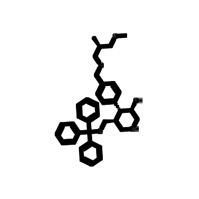 COC[C@H](C)COCc1ccc([C@H]2[C@H](COC(c3ccccc3)(c3ccccc3)c3ccccc3)CNC[C@@H]2O)cc1